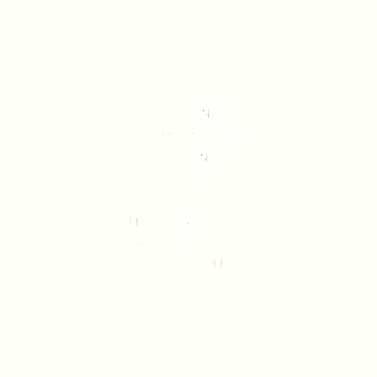 NC(=O)N(CCC(CO)(CO)CO)P=S